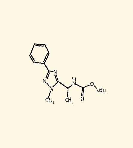 C[C@H](NC(=O)OC(C)(C)C)c1nc(-c2ccccc2)nn1C